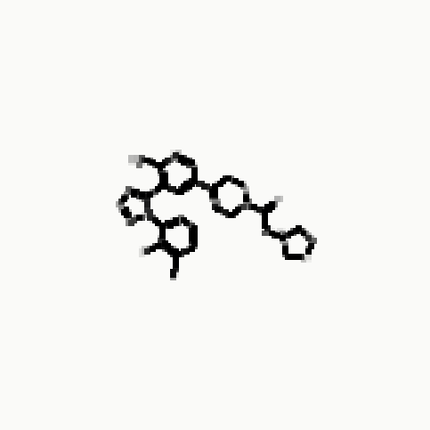 Nc1ncc(C2=CCN(C(=O)O[C@H]3CCOC3)CC2)cc1-c1nnnn1-c1cccc(F)c1F